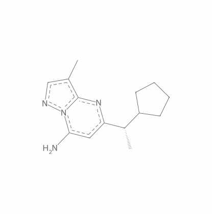 Cc1cnn2c(N)cc([C@@H](C)C3CCCC3)nc12